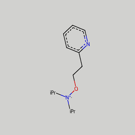 CC(C)[N+](OCCc1ccccn1)C(C)C